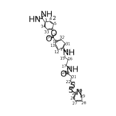 N=C(N)c1ccc(OC(=O)c2ccc(NCCCNC(=O)CCSSc3ccccn3)cc2)cc1